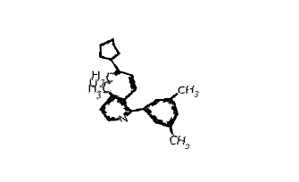 C=C(/C=C\c1c(C)ccnc1-c1cc(C)cc(C)c1)C1CCCC1